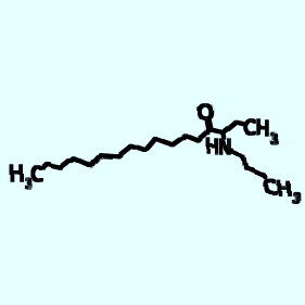 CCCCCCCCCCCCCC(=O)C(CC)NCCCC